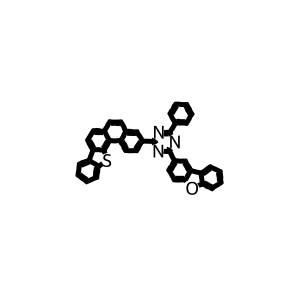 c1ccc(-c2nc(-c3ccc4c(ccc5ccc6c7ccccc7sc6c54)c3)nc(-c3ccc4oc5ccccc5c4c3)n2)cc1